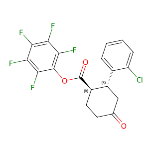 O=C1CC[C@@H](C(=O)Oc2c(F)c(F)c(F)c(F)c2F)[C@H](c2ccccc2Cl)C1